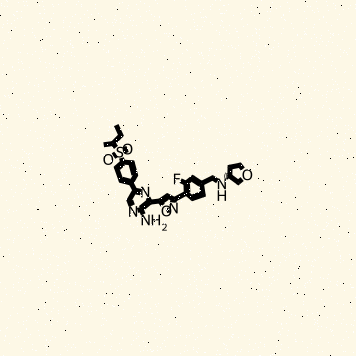 CCC(C)S(=O)(=O)c1ccc(-c2cnc(N)c(-c3cc(-c4ccc(CN[C@@H]5CCOC5)cc4F)no3)n2)cc1